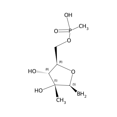 B[C@@H]1O[C@H](COP(C)(=O)O)[C@@H](O)[C@@]1(C)O